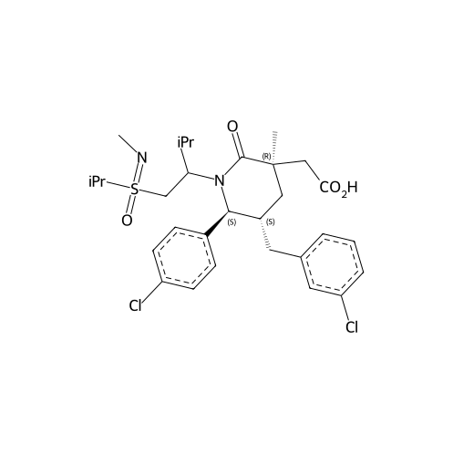 CN=S(=O)(CC(C(C)C)N1C(=O)[C@@](C)(CC(=O)O)C[C@H](Cc2cccc(Cl)c2)[C@H]1c1ccc(Cl)cc1)C(C)C